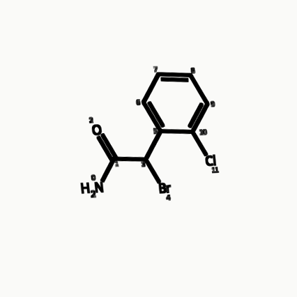 NC(=O)C(Br)c1ccccc1Cl